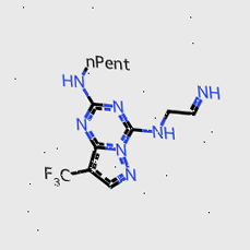 CCCCCNc1nc(NCC=N)n2ncc(C(F)(F)F)c2n1